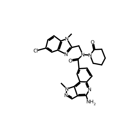 Cn1ncc2c(N)nc3ccc(C(=O)N(Cc4nc5cc(Cl)ccc5n4C)N4CCCCC4=O)cc3c21